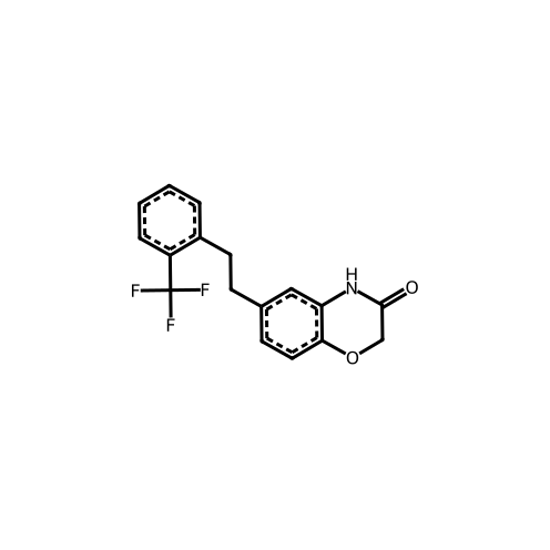 O=C1COc2ccc(CCc3ccccc3C(F)(F)F)cc2N1